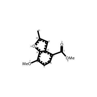 COC(=O)c1ccc(OC)c2oc(C)cc12